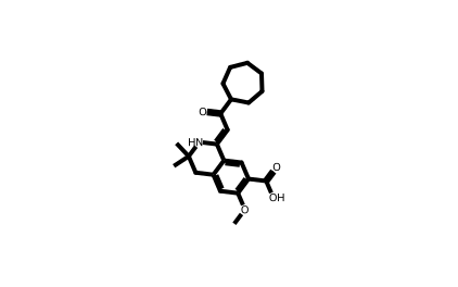 COc1cc2c(cc1C(=O)O)C(=CC(=O)C1CCCCCC1)NC(C)(C)C2